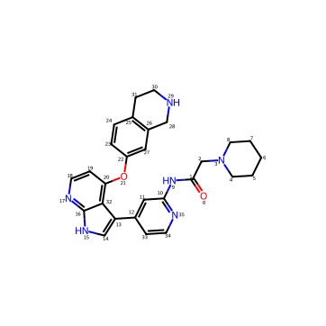 O=C(CN1CCCCC1)Nc1cc(-c2c[nH]c3nccc(Oc4ccc5c(c4)CNCC5)c23)ccn1